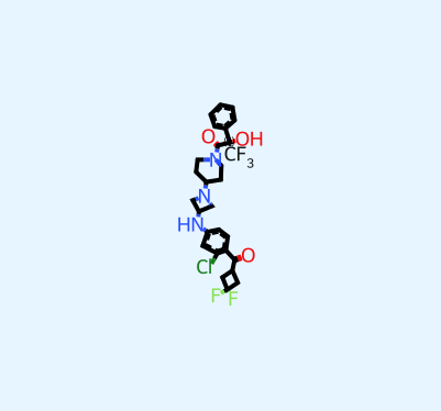 O=C(c1ccc(NC2CN(C3CCN(C(=O)[C@@](O)(c4ccccc4)C(F)(F)F)CC3)C2)cc1Cl)C1CC(F)(F)C1